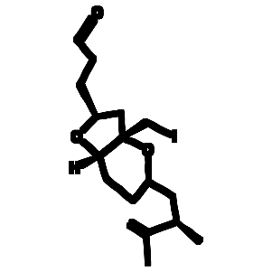 C=C(C)[C@H](C)CC1CC[C@@H]2O[C@@H](CCC=O)C[C@]2(CI)O1